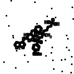 COc1ccc(S(=O)(=O)N(CC(O)C(Cc2ccccc2)NC(=O)OC2COC3OCCC23)CC(C)(C)CCCCP(=O)(O)O)cc1